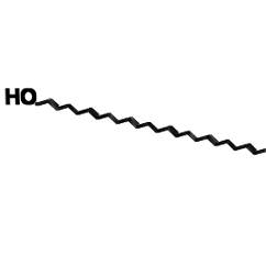 CC=CCCC=CCCC=CCCC=CCCC=CCCC=CCO